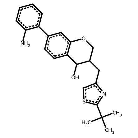 CC(C)(C)c1nc(CC2COc3cc(-c4ccccc4N)ccc3C2O)cs1